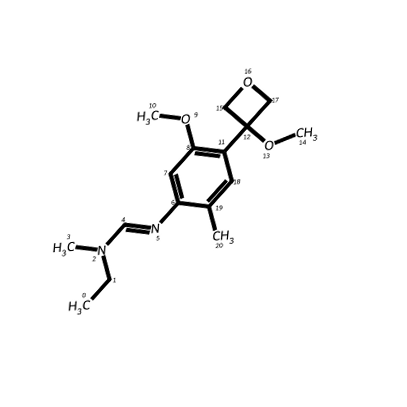 CCN(C)C=Nc1cc(OC)c(C2(OC)COC2)cc1C